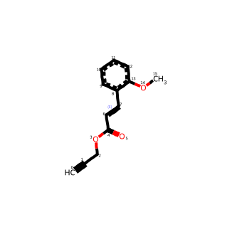 C#CCOC(=O)/C=C/c1ccccc1OC